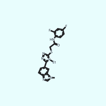 CCn1c(SCC(=O)Nc2ccc(F)cc2F)nnc1-c1ccc2ncn(C)c2c1